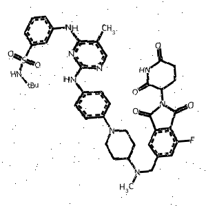 Cc1cnc(Nc2ccc(N3CCC(N(C)Cc4cc(F)c5c(c4)C(=O)N(C4CCC(=O)NC4=O)C5=O)CC3)cc2)nc1Nc1cccc(S(=O)(=O)NC(C)(C)C)c1